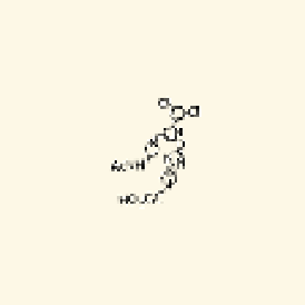 CC(=O)NCC1CCN(Cc2cc(Oc3cnc(N4CCN(CCC(C)(C)C(=O)O)CC4)nc3)nc(-c3cc(Cl)cc(Cl)c3)c2)CC1